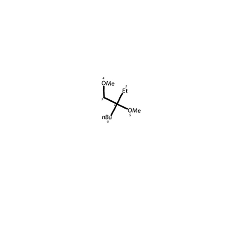 CCCCC(CC)(COC)OC